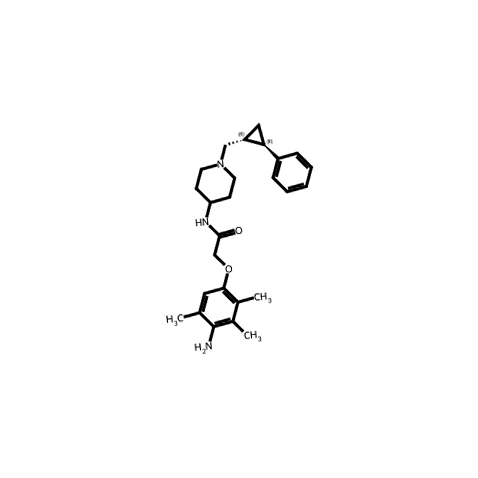 Cc1cc(OCC(=O)NC2CCN(C[C@@H]3C[C@H]3c3ccccc3)CC2)c(C)c(C)c1N